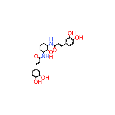 O=C(C=Cc1ccc(O)c(O)c1)NC1CCCC(NC(=O)C=Cc2ccc(O)c(O)c2)C1O